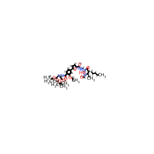 CCCCC[C@@H](C(=O)NCNC(=O)c1ccc(-c2ccc(C(=O)N[C@@H](CC(=O)OC(C)(C)C)C(=O)OC(C)(C)C)c(OCC)c2)o1)[C@@H](CC)N(O)C=O